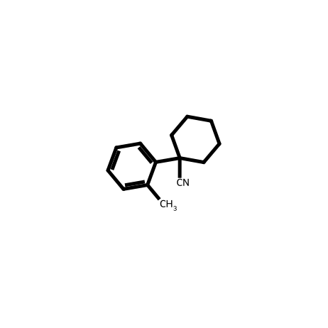 Cc1ccccc1C1(C#N)CCCCC1